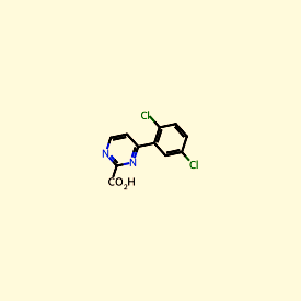 O=C(O)c1nccc(-c2cc(Cl)ccc2Cl)n1